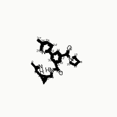 CC(=N)CC1C=C1CNC(=O)c1cc(C(=O)N2CCCC2)cc(-c2ccc(C)cn2)c1